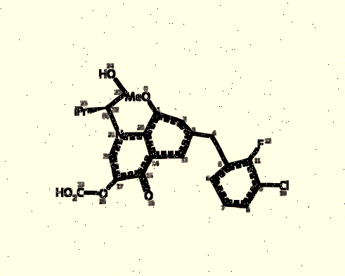 COc1cc(Cc2cccc(Cl)c2F)cc2c(=O)c(OC(=O)O)cn([C@H](CO)C(C)C)c12